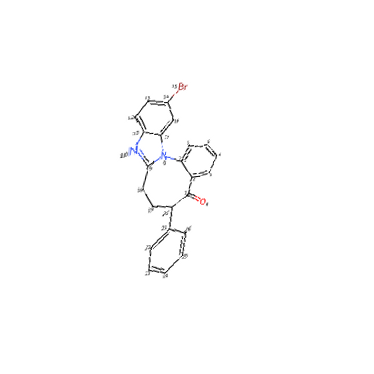 O=C1c2ccccc2-n2c(nc3ccc(Br)cc32)CCC1c1ccccc1